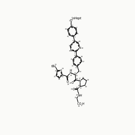 CCCCCCCOc1ccc(-c2cnc(-c3ccc(C[C@H](NC(=O)c4ccc(C(C)(C)C)s4)C(=O)N4CCC[C@H]4C(=O)NCC(=O)O)cc3)nc2)cc1